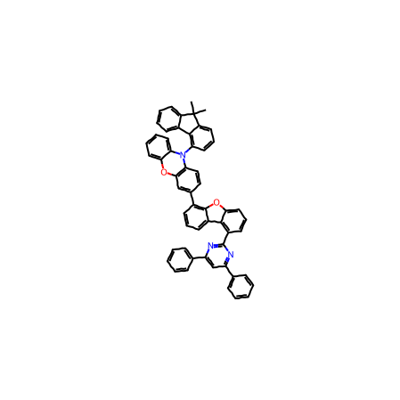 CC1(C)c2ccccc2-c2c(N3c4ccccc4Oc4cc(-c5cccc6c5oc5cccc(-c7nc(-c8ccccc8)cc(-c8ccccc8)n7)c56)ccc43)cccc21